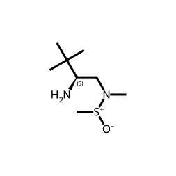 CN(C[C@@H](N)C(C)(C)C)[S+](C)[O-]